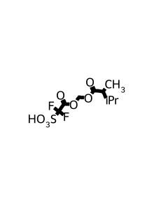 CC(C)C(C)C(=O)OCOC(=O)C(F)(F)S(=O)(=O)O